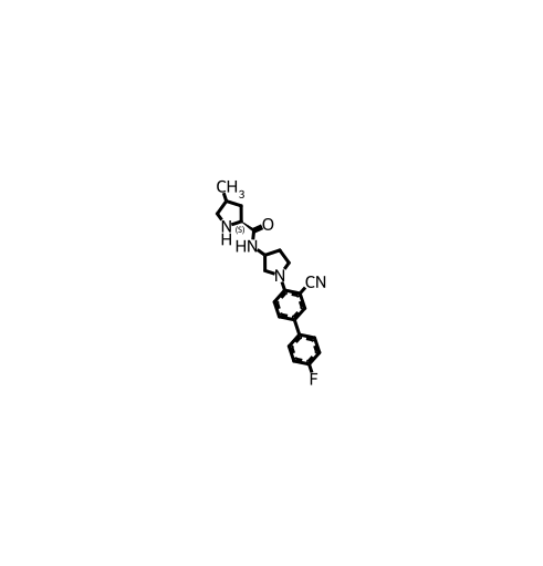 CC1CN[C@H](C(=O)NC2CCN(c3ccc(-c4ccc(F)cc4)cc3C#N)C2)C1